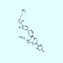 CCc1cnc(N2CCN(c3ncc(-c4ccc(-n5cnn(CCN)c5=O)c(F)c4)cc3C#N)C(C)C2)nc1.Cl